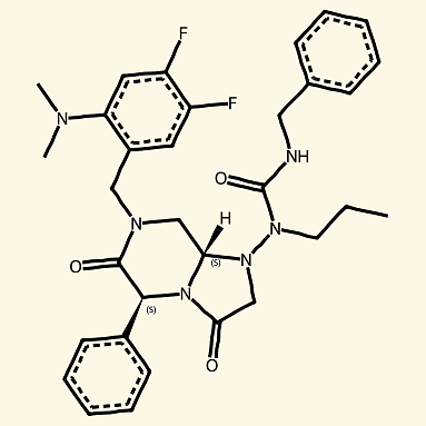 CCCN(C(=O)NCc1ccccc1)N1CC(=O)N2[C@@H](c3ccccc3)C(=O)N(Cc3cc(F)c(F)cc3N(C)C)C[C@@H]21